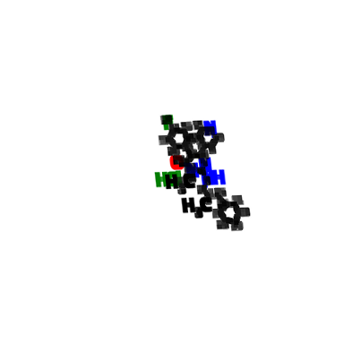 CC(CNc1nc(-c2ccncc2)c(-c2ccc(F)cc2)c(=O)n1C)Cc1ccccc1.Cl